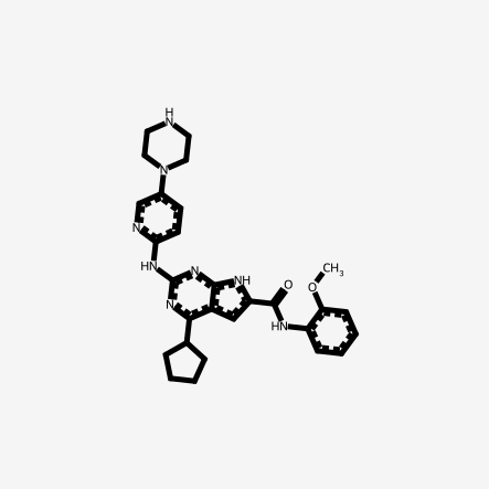 COc1ccccc1NC(=O)c1cc2c(C3CCCC3)nc(Nc3ccc(N4CCNCC4)cn3)nc2[nH]1